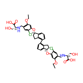 CCOc1cc(O[C@H]2CCc3c(-c4cccc5c4CC[C@@H]5Oc4cc(OCC)c(CN[C@H](CO)C(=O)O)cc4Cl)cccc32)c(Cl)cc1CN[C@H](CO)C(=O)O